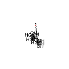 CCCCCCCCCCCCNC[C@H](O)[C@@H](O)[C@H](O)[C@H](O)CO.O=C(O)c1cc(O)c(O)c(O)c1